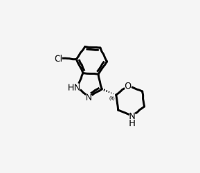 Clc1cccc2c([C@H]3CNCCO3)n[nH]c12